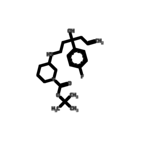 C=CCC(O)(CCNC1CCCN(C(=O)OC(C)(C)C)C1)c1ccc(F)cc1